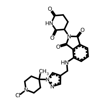 CC1(n2cc(CNc3cccc4c3C(=O)N(C3CCC(=O)NC3=O)C4=O)cn2)CCN(Cl)CC1